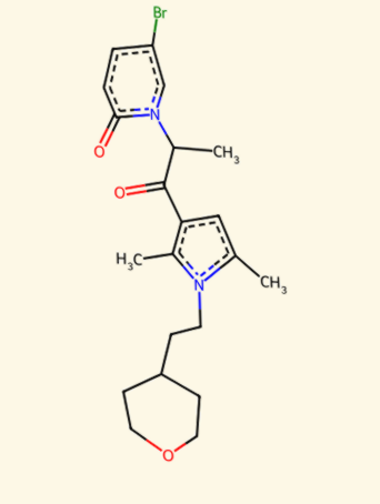 Cc1cc(C(=O)C(C)n2cc(Br)ccc2=O)c(C)n1CCC1CCOCC1